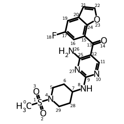 CS(=O)(=O)N1CCC(Nc2ncc(C(=O)c3cc(F)cc4ccoc34)c(N)n2)CC1